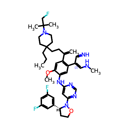 C=C(CCC1(CCC)CCN(C(C)(C)CF)CC1)c1cc(OC)c(Nc2cc(N3OCC[C@@H]3c3cc(F)cc(F)c3)ncn2)cc1/C(C=N)=C/NC